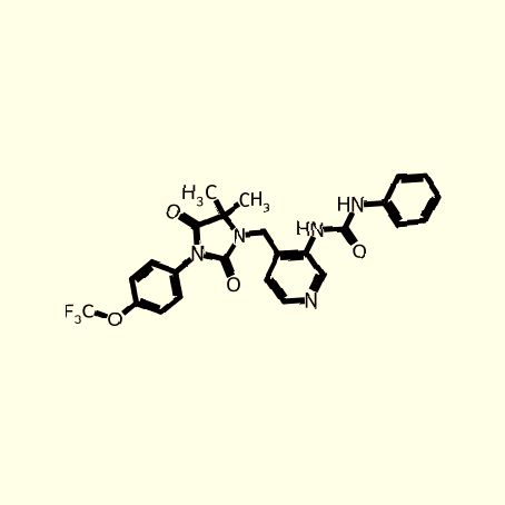 CC1(C)C(=O)N(c2ccc(OC(F)(F)F)cc2)C(=O)N1Cc1ccncc1NC(=O)Nc1ccccc1